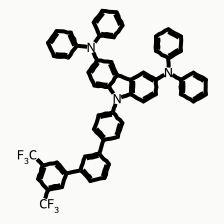 FC(F)(F)c1cc(-c2cccc(-c3ccc(-n4c5ccc(N(c6ccccc6)c6ccccc6)cc5c5cc(N(c6ccccc6)c6ccccc6)ccc54)cc3)c2)cc(C(F)(F)F)c1